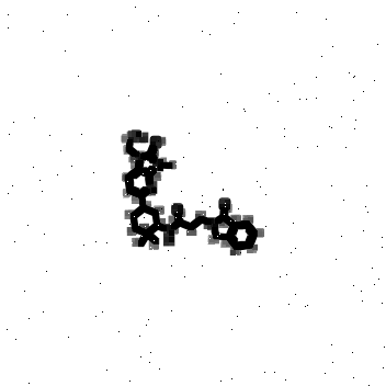 Cn1c(=O)n(CC(C)(C)C)c2ccc(C3CCC(C)(C)C(NC(=O)CCN4Cc5ccccc5C4=O)C3)nc21